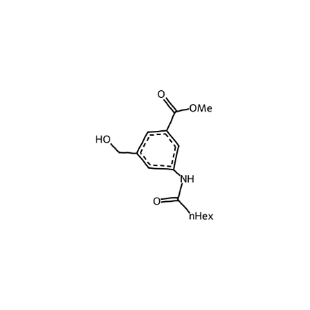 CCCCCCC(=O)Nc1cc(CO)cc(C(=O)OC)c1